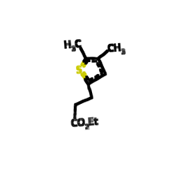 CCOC(=O)CCc1cc(C)c(C)s1